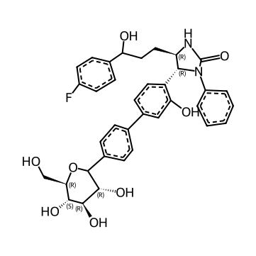 O=C1N[C@H](CCC(O)c2ccc(F)cc2)[C@@H](c2ccc(-c3ccc(C4O[C@H](CO)[C@@H](O)[C@H](O)[C@H]4O)cc3)cc2O)N1c1ccccc1